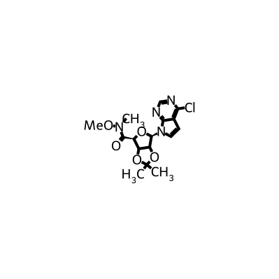 CON(C)C(=O)[C@H]1O[C@@H](n2ccc3c(Cl)ncnc32)C2OC(C)(C)OC21